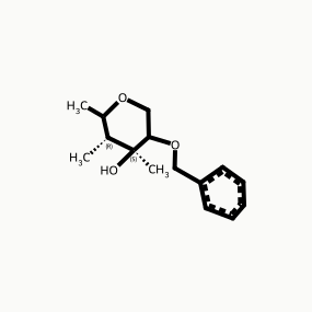 CC1OCC(OCc2ccccc2)[C@@](C)(O)[C@@H]1C